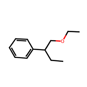 CCOCC(CC)c1ccccc1